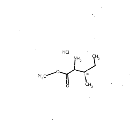 CC[C@H](C)C(N)C(=O)OC.Cl